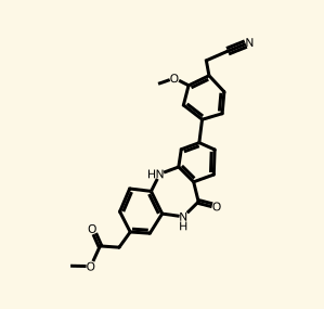 COC(=O)Cc1ccc2c(c1)NC(=O)c1ccc(-c3ccc(CC#N)c(OC)c3)cc1N2